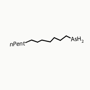 CCCCCCCCCCCC[AsH2]